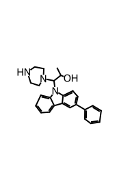 CC(O)C(N1CCNCC1)n1c2ccccc2c2cc(-c3ccccc3)ccc21